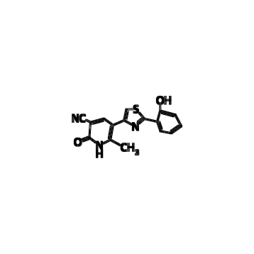 Cc1[nH]c(=O)c(C#N)cc1-c1csc(-c2ccccc2O)n1